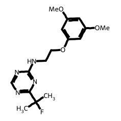 COc1cc(OC)cc(OCCNc2ncnc(C(C)(C)F)n2)c1